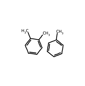 Cc1ccccc1.Cc1ccccc1C